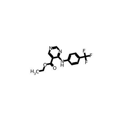 CCOC(=O)c1cncnc1Nc1ccc(C(F)(F)F)cc1